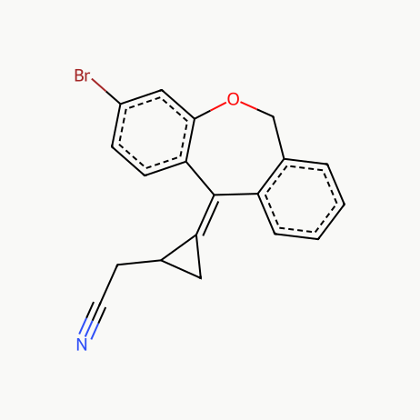 N#CCC1CC1=C1c2ccccc2COc2cc(Br)ccc21